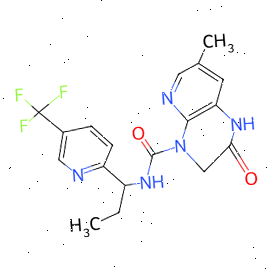 CCC(NC(=O)N1CC(=O)Nc2cc(C)cnc21)c1ccc(C(F)(F)F)cn1